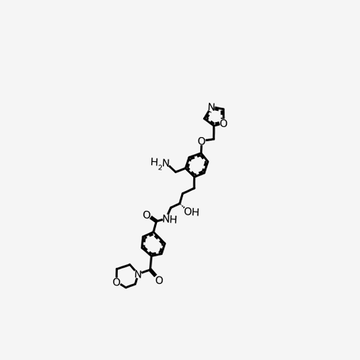 NCc1cc(OCc2cnco2)ccc1CC[C@H](O)CNC(=O)c1ccc(C(=O)N2CCOCC2)cc1